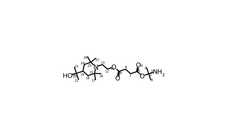 CC(C)(N)OC(=O)CCC(=O)OCCN1C(C)(C)CC(C(C)(C)O)CC1(C)C